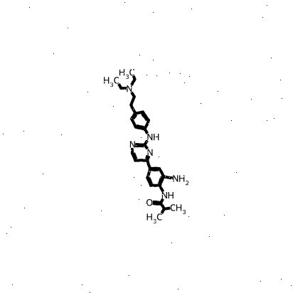 CCN(CC)CCc1ccc(Nc2nccc(-c3ccc(NC(=O)C(C)C)c(N)c3)n2)cc1